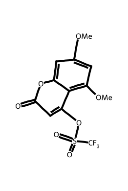 COc1cc(OC)c2c(OS(=O)(=O)C(F)(F)F)cc(=O)oc2c1